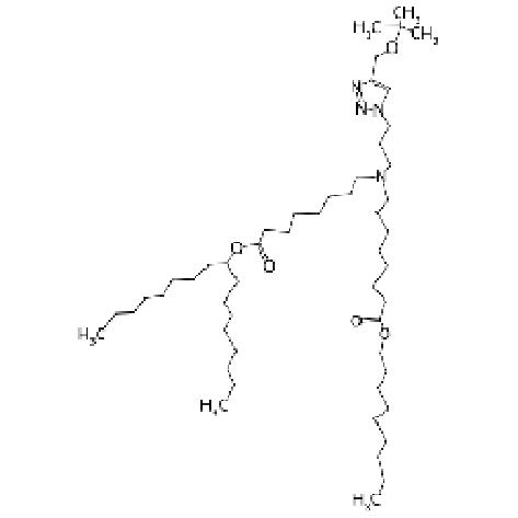 CCCCCCCCCOC(=O)CCCCCCCN(CCCCCCCC(=O)OC(CCCCCCCC)CCCCCCCC)CCCn1cc(COC(C)(C)C)nn1